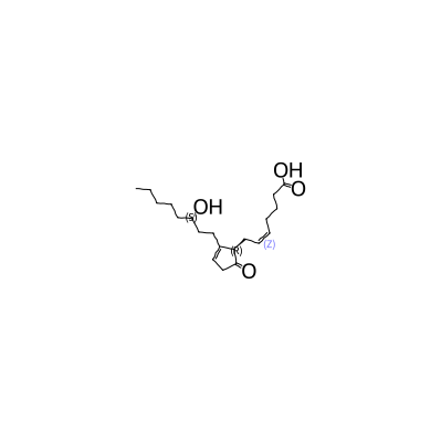 CCCCC[C@H](O)CCC1=CCC(=O)[C@@H]1C/C=C\CCCC(=O)O